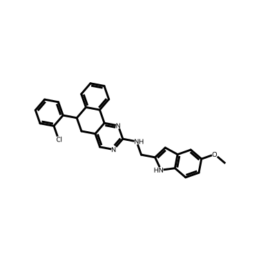 COc1ccc2[nH]c(CNc3ncc4c(n3)-c3ccccc3C(c3ccccc3Cl)C4)cc2c1